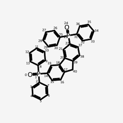 O=P(c1ccccc1)(c1ccccc1)c1ccc2c(c1)-c1cc(P(=O)(c3ccccc3)c3ccccc3)ccc1C2